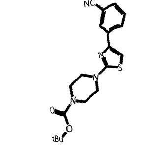 CC(C)(C)OC(=O)N1CCN(c2nc(-c3cccc(C#N)c3)cs2)CC1